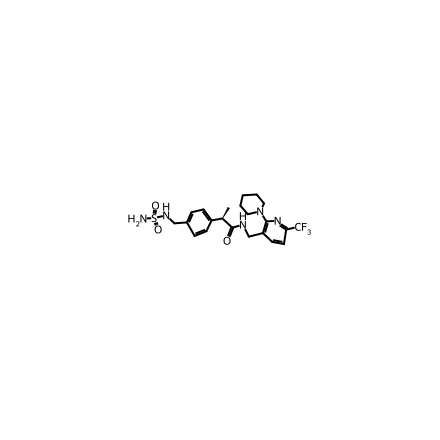 C[C@@H](C(=O)NCc1ccc(C(F)(F)F)nc1N1CCCCC1)c1ccc(CNS(N)(=O)=O)cc1